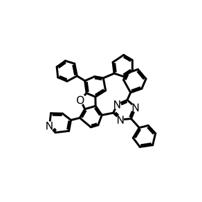 c1ccc(-c2cc(-c3ccccc3)c3oc4c(-c5ccncc5)ccc(-c5nc(-c6ccccc6)nc(-c6ccccc6)n5)c4c3c2)cc1